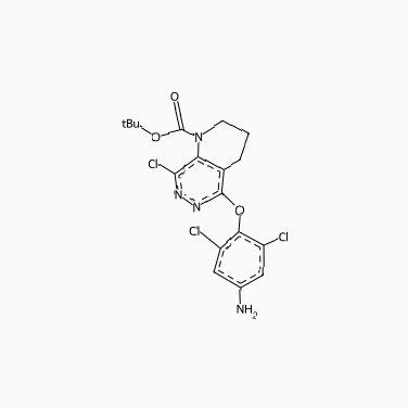 CC(C)(C)OC(=O)N1CCCc2c(Oc3c(Cl)cc(N)cc3Cl)nnc(Cl)c21